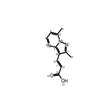 Cc1nn2c(C)ccnc2c1/C=C/C(=O)O